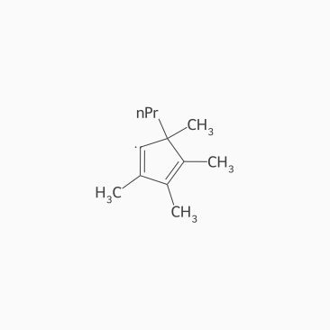 CCCC1(C)[C]=C(C)C(C)=C1C